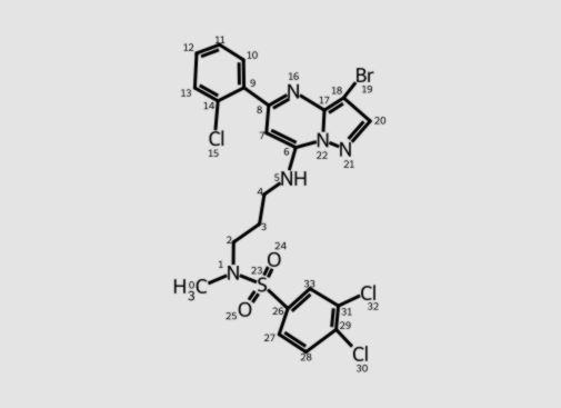 CN(CCCNc1cc(-c2ccccc2Cl)nc2c(Br)cnn12)S(=O)(=O)c1ccc(Cl)c(Cl)c1